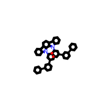 c1ccc(-c2cccc(-c3cccc(-n4c5ccccc5c5ccc6c7ccccc7n(-c7cccc(-c8cccc(-c9ccccc9)c8)c7)c6c54)c3)c2)cc1